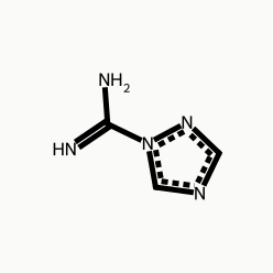 N=C(N)n1cncn1